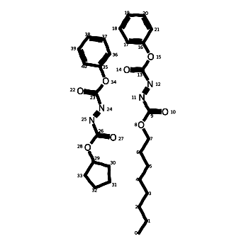 CCCCCCCCOC(=O)N=NC(=O)Oc1ccccc1.O=C(N=NC(=O)OC1CCCC1)Oc1ccccc1